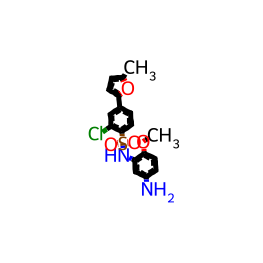 COc1ccc(N)cc1NS(=O)(=O)c1ccc(-c2ccc(C)o2)cc1Cl